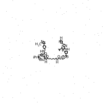 Cc1ncsc1-c1ccc(CNC(=O)[C@@H]2C[C@@H](OC(=O)C(C)C)CN2C(=O)[C@H](NC(=O)CCCCCCNC(=O)CN2CCN(C(=O)c3ccc(Nc4nc(C5CC5)cn5c(-c6cn[nH]c6)cnc45)c(F)c3)CC2)C(C)(C)C)cc1